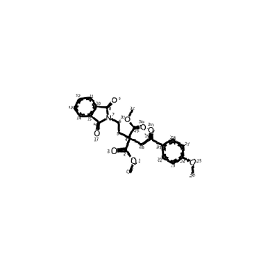 COC(=O)C(CCN1C(=O)c2ccccc2C1=O)(CC(=O)c1ccc(OC)cc1)C(=O)OC